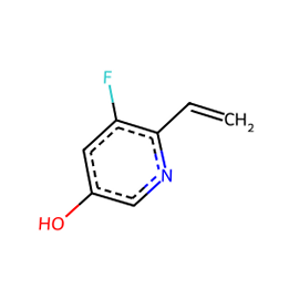 C=Cc1ncc(O)cc1F